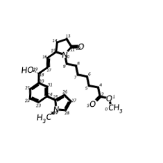 COC(=O)CCCCCCN1C(=O)CCC1/C=C/[C@@H](O)c1cccc(-c2cccn2C)c1